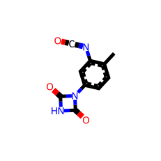 Cc1ccc(N2C(=O)NC2=O)cc1N=C=O